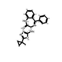 CC1(c2nnc(N[C@H]3N=C(c4ccccc4)c4ccccc4NC3=O)o2)CC1